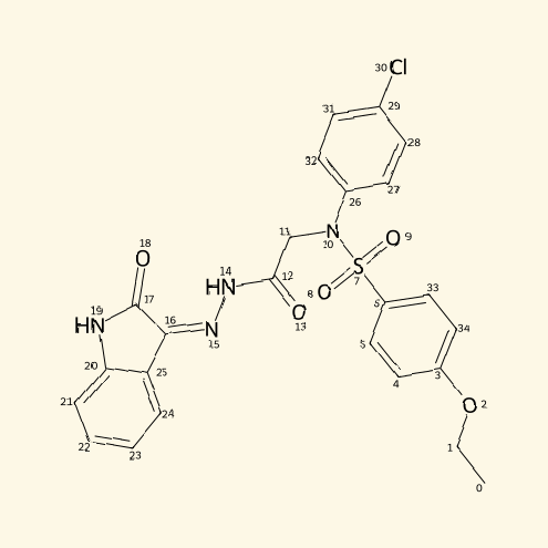 CCOc1ccc(S(=O)(=O)N(CC(=O)N/N=C2\C(=O)Nc3ccccc32)c2ccc(Cl)cc2)cc1